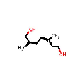 C=C(CO)CC=C(C)CCO